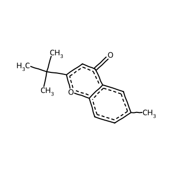 Cc1ccc2oc(C(C)(C)C)cc(=O)c2c1